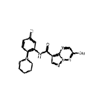 O=C(Nc1cc(Cl)ccc1N1CCCCC1)c1cnn2nc(O)cnc12